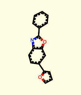 c1ccc(-c2nc3ccc(-c4ccco4)cc3o2)cc1